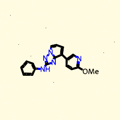 COc1ccc(-c2cccn3nc(Nc4ccccc4)nc23)cn1